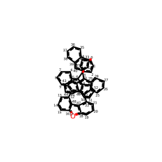 c1ccc(-c2c3ccccc3c(-c3cccc4oc5cccc(-c6c7ccccc7c(-c7ccc8ccccc8c7)c7ccccc67)c5c34)c3ccccc23)cc1